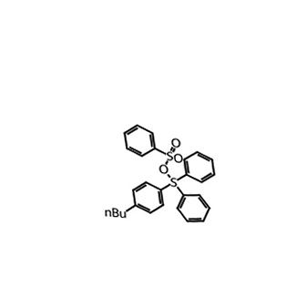 CCCCc1ccc(S(OS(=O)(=O)c2ccccc2)(c2ccccc2)c2ccccc2)cc1